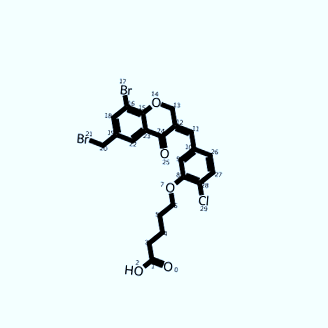 O=C(O)CCCCOc1cc(C=C2COc3c(Br)cc(CBr)cc3C2=O)ccc1Cl